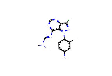 Cc1cc(N)ccc1-n1nc(Br)c2ncnc(/N=C/N(C)C)c21